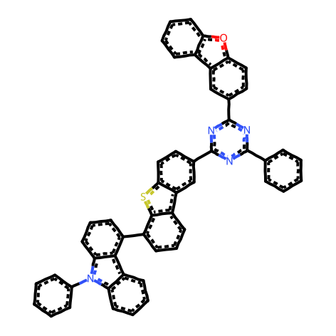 c1ccc(-c2nc(-c3ccc4oc5ccccc5c4c3)nc(-c3ccc4sc5c(-c6cccc7c6c6ccccc6n7-c6ccccc6)cccc5c4c3)n2)cc1